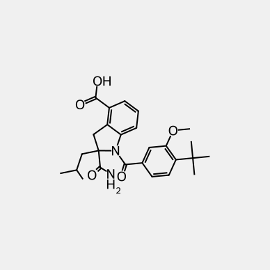 COc1cc(C(=O)N2c3cccc(C(=O)O)c3CC2(CC(C)C)C(N)=O)ccc1C(C)(C)C